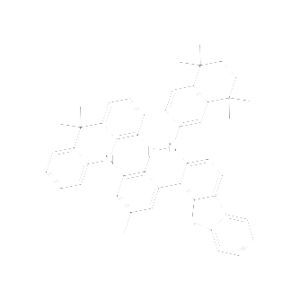 Cc1cc2c3c(c1)N1c4ccccc4C(C)(C)c4cccc(c41)B3N(c1ccc3c(c1)C(C)(C)CCC3(C)C)c1ccc3c(sc4ccccc43)c1-2